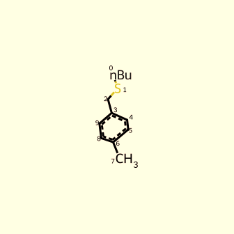 CCCCSCc1ccc(C)cc1